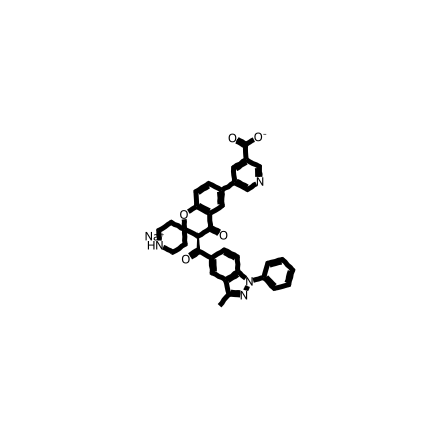 Cc1nn(-c2ccccc2)c2ccc(C(=O)[C@@H]3C(=O)c4cc(-c5cncc(C(=O)[O-])c5)ccc4OC34CCNCC4)cc12.[Na+]